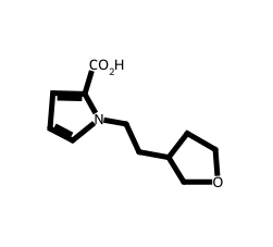 O=C(O)c1cccn1CCC1CCOC1